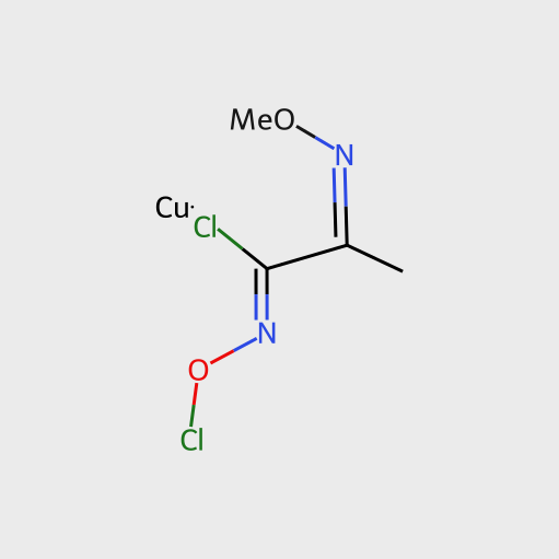 CON=C(C)C(Cl)=NOCl.[Cu]